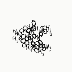 CC(C)(C)c1ccc(N(c2ccc(C(C)(C)C)cc2)c2cc3c4c(c2)-n2c5sc6ccccc6c5c5cc(C(C)(C)C)cc(c52)B4c2cc4c(cc2N3c2ccc3c(c2)C(C)(C)CCC3(C)C)C(C)(C)CCC4(C)C)cc1